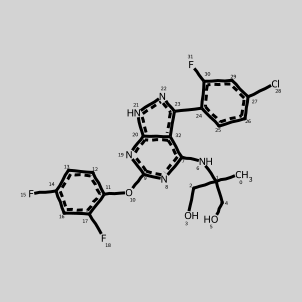 CC(CO)(CO)Nc1nc(Oc2ccc(F)cc2F)nc2[nH]nc(-c3ccc(Cl)cc3F)c12